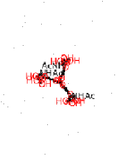 CC(=O)NC1CC(O)[C@@H](O)C(CO)O[C@H]1OCCCCCOCC(C)(COCCCCCO[C@@H]1OC(CO)[C@H](O)C(O)C1NC(C)=O)COCCCCCO[C@@H]1CC(CO)[C@H](O)C(O)C1NC(C)=O